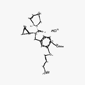 COCCCOc1cc(CN(C(=O)[C@H]2CNCCO2)C2CC2)ccc1OC.Cl